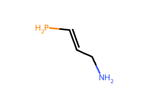 NCC=CP